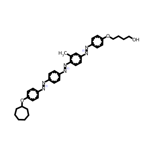 Cc1cc(/N=N/c2ccc(OCCCCO)cc2)ccc1/N=N/c1ccc(/N=N/c2ccc(OC3CCCCCC3)cc2)cc1